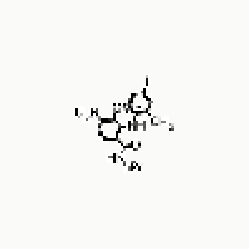 CCCNC(=O)c1ccc([N+](=O)[O-])c(OC)c1Nc1ccc(I)cc1C